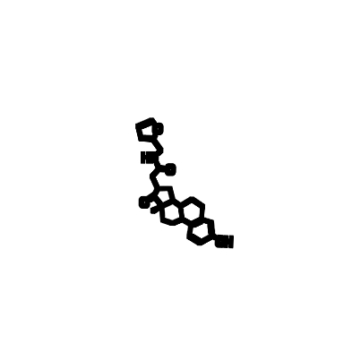 C[C@]12CCC3c4ccc(O)cc4CCC3C1CC(CC(=O)NCc1ccco1)C2=O